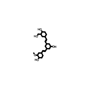 COC1CC(/C=C/C2CC(O)CC(/C=C/C3CCC(O)C(CO)C3)C2)CCC1O